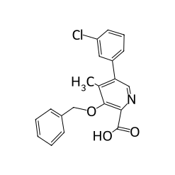 Cc1c(-c2cccc(Cl)c2)cnc(C(=O)O)c1OCc1ccccc1